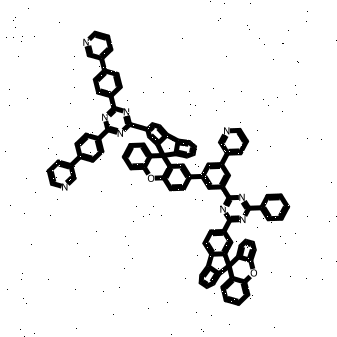 c1ccc(-c2nc(-c3cc(-c4cccnc4)cc(-c4ccc5c(c4)C4(c6ccccc6O5)c5ccccc5-c5ccc(-c6nc(-c7ccc(-c8cccnc8)cc7)nc(-c7ccc(-c8cccnc8)cc7)n6)cc54)c3)nc(-c3ccc4c(c3)C3(c5ccccc5Oc5ccccc53)c3ccccc3-4)n2)cc1